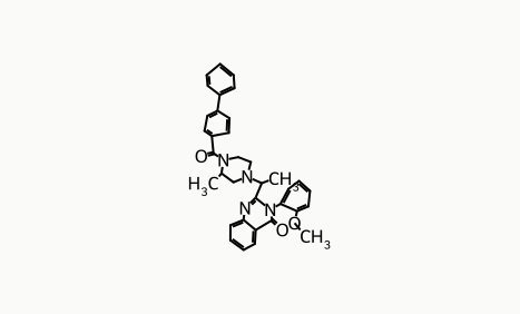 COc1ccccc1-n1c(C(C)N2CCN(C(=O)c3ccc(-c4ccccc4)cc3)C(C)C2)nc2ccccc2c1=O